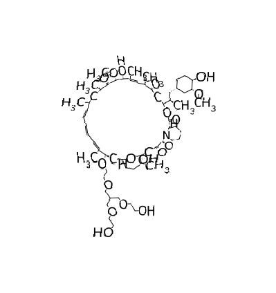 CO[C@@H]1C[C@H](C[C@@H](C)[C@@H]2CC(=O)[C@H](C)/C=C(\C)[C@@H](O)[C@@H](OC)C(=O)[C@H](C)C[C@H](C)/C=C/C=C/C=C(\C)[C@@H](OCCOCC(COCCO)COCCO)C[C@@H]3CC[C@@H](C)[C@](O)(CC(=O)C(=O)N4CCCC[C@H]4C(=O)O2)O3)CC[C@H]1O